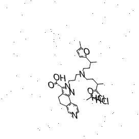 Cc1ccc(C(C)CCN(CCCn2nc3c(c2C(=O)O)CCc2cnccc2-3)CCC(C)c2ccc(C)o2)o1.Cl.Cl